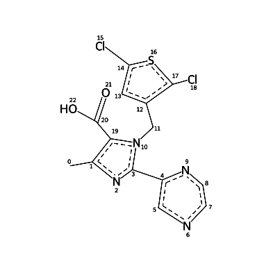 Cc1nc(-c2cnccn2)n(Cc2cc(Cl)sc2Cl)c1C(=O)O